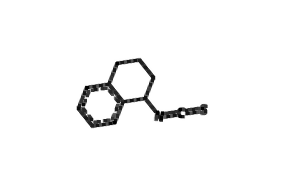 S=C=NC1CCCc2ccccc21